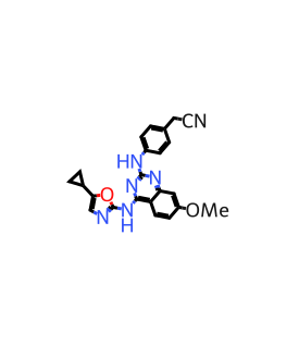 COc1ccc2c(Nc3ncc(C4CC4)o3)nc(Nc3ccc(CC#N)cc3)nc2c1